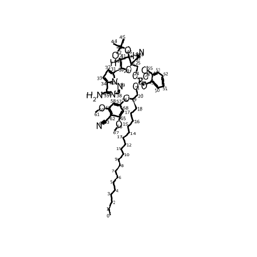 CCCCCCCCCCCCCCCCCCC[C@H](COP(=O)(OC[C@@]1(C#N)O[C@@H](c2ccc3c(N)ncnn23)[C@@H]2OC(C)(C)O[C@@H]21)Oc1ccccc1Cl)Oc1cc(OC)c(C#N)c(OC)c1